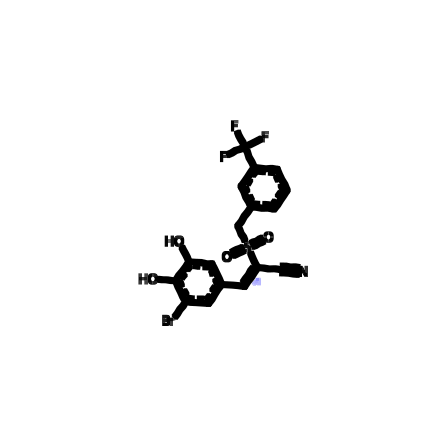 N#C/C(=C/c1cc(O)c(O)c(Br)c1)S(=O)(=O)Cc1cccc(C(F)(F)F)c1